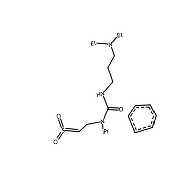 CCN(CC)CCCNC(=O)N(CC=S(=O)=O)C(C)C.c1ccccc1